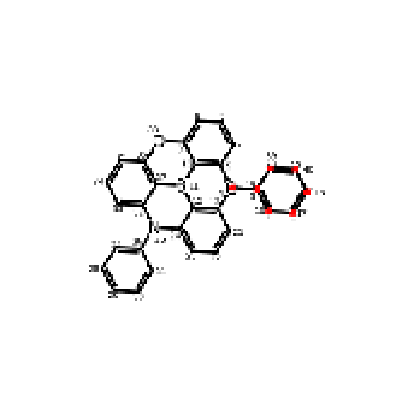 c1ccc(Oc2cccc3c2B2c4c(Oc5ccccc5)cccc4N(c4ccccc4)c4cccc(c42)O3)cc1